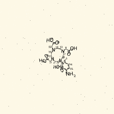 Nc1ccc(C[C@H]2CN(CC(=O)O)CCN(CC(=O)O)CCN(CC(=O)O)CCN2CC(=O)O)cc1